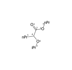 CCCOC(=O)C(CCC)OC(C)C